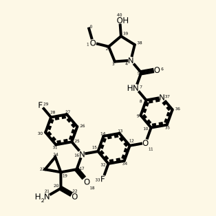 COC1CN(C(=O)Nc2cc(Oc3ccc(N(C(=O)C4(C(N)=O)CC4)c4ccc(F)cc4)c(F)c3)ccn2)CC1O